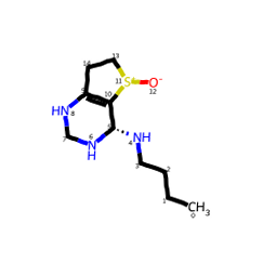 CCCCN[C@@H]1NCNC2=C1[S+]([O-])CC2